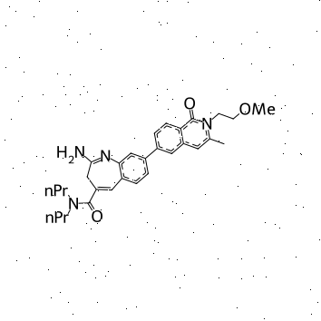 CCCN(CCC)C(=O)C1=Cc2ccc(-c3ccc4c(=O)n(CCOC)c(C)cc4c3)cc2N=C(N)C1